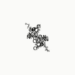 CCCCC[S+]([O-])CC(Cn1cncn1)(OC(=O)C(=O)OC(Cn1cncn1)(C[S+]([O-])CCCCC)c1ccc(Cl)cc1Cl)c1ccc(Cl)cc1Cl